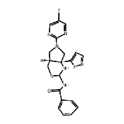 O=C(NC1N[C@@]2(c3ccns3)CN(c3ncc(F)cn3)C[C@H]2CS1)c1ccccc1